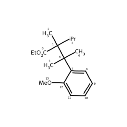 CCOC(=O)C(C)(C(C)C)C(C)(C)c1ccccc1OC